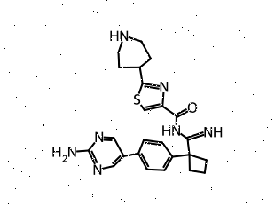 N=C(NC(=O)c1csc(C2CCNCC2)n1)C1(c2ccc(-c3cnc(N)nc3)cc2)CCC1